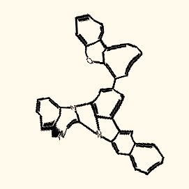 c1ccc2cc3c(cc2c1)c1cc(-c2cccc4c2oc2ccccc24)cc2c1n3c1nc3ccccc3n21